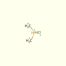 CPC.Cl